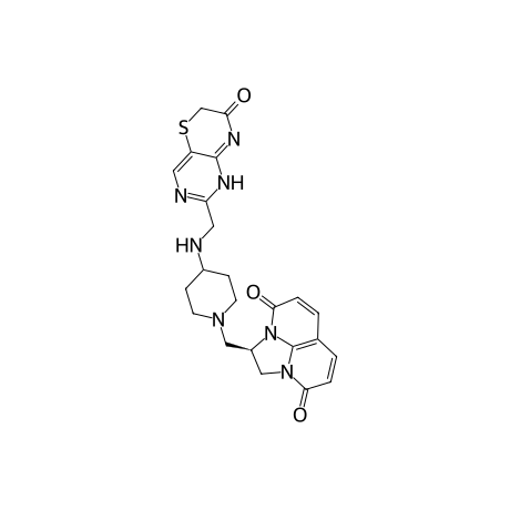 O=C1CSC2=CN=C(CNC3CCN(C[C@@H]4Cn5c(=O)ccc6ccc(=O)n4c65)CC3)NC2=N1